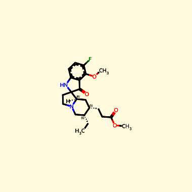 CC[C@@H]1CN2CCC3(Nc4ccc(F)c(OC)c4C3=O)[C@H]2C[C@@H]1CCC(=O)OC